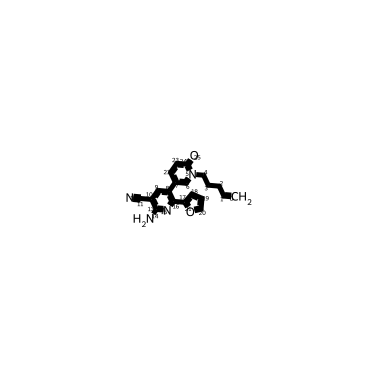 C=CCCCn1cc(-c2cc(C#N)c(N)nc2-c2ccco2)ccc1=O